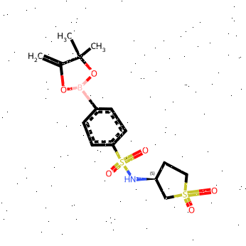 C=C1OB(c2ccc(S(=O)(=O)N[C@H]3CCS(=O)(=O)C3)cc2)OC1(C)C